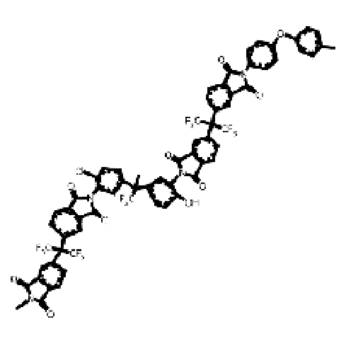 Cc1ccc(Oc2ccc(N3C(=O)c4ccc(C(c5ccc6c(c5)C(=O)N(c5cc(C(C)(c7ccc(Cl)c(N8C(=O)c9ccc(C(c%10ccc%11c(c%10)C(=O)N(C)C%11=O)(C(F)(F)F)C(F)(F)F)cc9C8=O)c7)C(F)(F)F)ccc5O)C6=O)(C(F)(F)F)C(F)(F)F)cc4C3=O)cc2)cc1